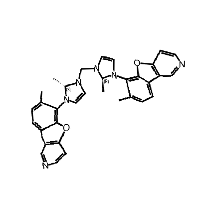 Cc1ccc2c(oc3ccncc32)c1N1C=CN(CN2C=CN(c3c(C)ccc4c3oc3ccncc34)[C@H]2C)[C@H]1C